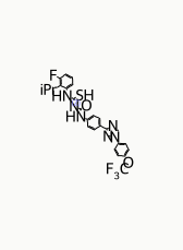 CC(C)c1c(F)cccc1N/C(S)=N/C(=O)Nc1ccc(-c2ncn(-c3ccc(OC(F)(F)F)cc3)n2)cc1